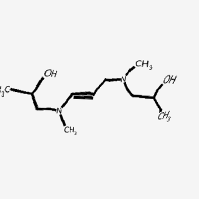 CC(O)CN(C)C=CCN(C)CC(C)O